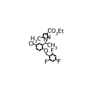 CCOC(=O)c1cc(C)n(C(C)c2cc(Cl)ccc2OCc2c(F)cc(F)cc2F)n1